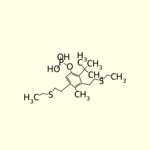 CCSCCc1cc(OP(O)O)c(C(C)(C)C)c(CCSCC)c1C